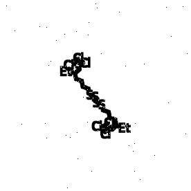 CCC(CCCCSSSSCCCCC(CC)CS(Cl)(Cl)Cl)CS(Cl)(Cl)Cl